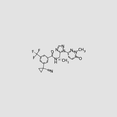 C[C@H](NC(=O)c1cc(C(F)(F)F)cc(C2(C#N)CC2)c1)c1ncnn1-c1ccc(=O)n(C)n1